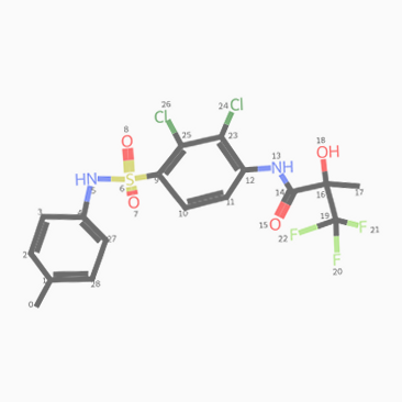 Cc1ccc(NS(=O)(=O)c2ccc(NC(=O)C(C)(O)C(F)(F)F)c(Cl)c2Cl)cc1